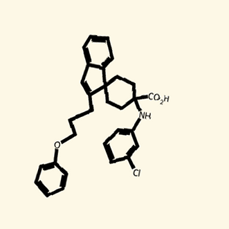 O=C(O)C1(Nc2cccc(Cl)c2)CCC2(CC1)C(CCCOc1ccccc1)=Cc1ccccc12